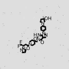 C[C@@]1(O)CCN(c2ccc(-n3ncc4c(=O)n(CC5(O)CCN(C(=O)CC(C(F)F)n6cccn6)CC5)cnc43)cc2)C1